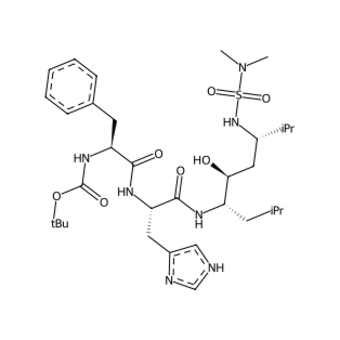 CC(C)C[C@H](NC(=O)[C@H](Cc1c[nH]cn1)NC(=O)[C@H](Cc1ccccc1)NC(=O)OC(C)(C)C)[C@@H](O)C[C@H](NS(=O)(=O)N(C)C)C(C)C